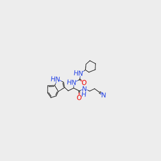 N#CCCNC(=O)C(Cc1c[nH]c2ccccc12)NC(=O)NC1CCCCC1